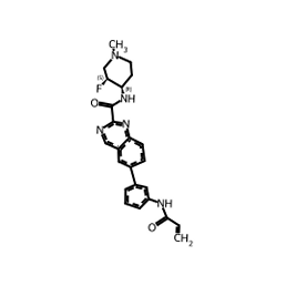 C=CC(=O)Nc1cccc(-c2ccc3nc(C(=O)N[C@@H]4CCN(C)C[C@@H]4F)ncc3c2)c1